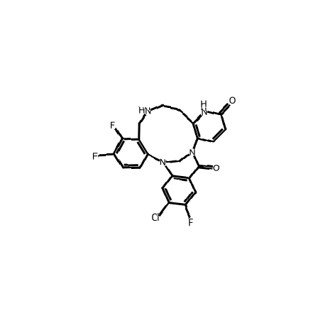 O=C1c2cc(F)c(Cl)cc2N2CN1c1ccc(=O)[nH]c1CCNCc1c2ccc(F)c1F